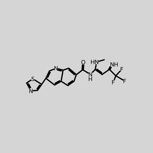 CN/C(=C\C(=N)C(F)(F)F)NC(=O)c1ccc2cc(-c3cncs3)cnc2c1